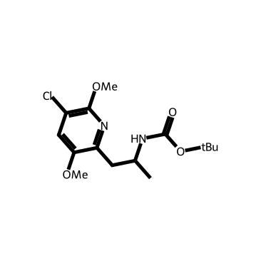 COc1cc(Cl)c(OC)nc1CC(C)NC(=O)OC(C)(C)C